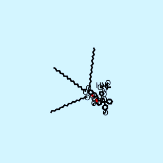 CCCCCCCCCCCCCCCCCCOc1cc(CC(CC(=O)O)(C(=O)O)[C@@H]2C[C@H](n3cc(C)c(=O)[nH]c3=O)O[C@@H]2COC(c2ccccc2)(c2ccc(OC)cc2)c2ccc(OC)cc2)cc(OCCCCCCCCCCCCCCCCCC)c1OCCCCCCCCCCCCCCCCCC